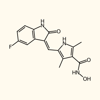 Cc1[nH]c(C=C2C(=O)Nc3ccc(F)cc32)c(C)c1C(=O)NO